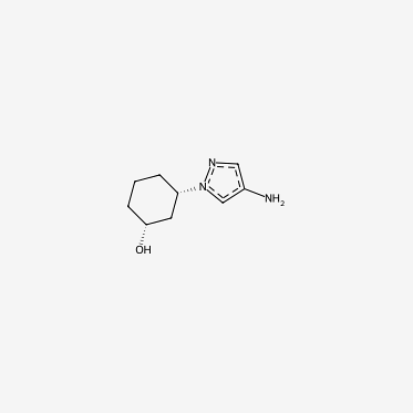 Nc1cnn([C@H]2CCC[C@@H](O)C2)c1